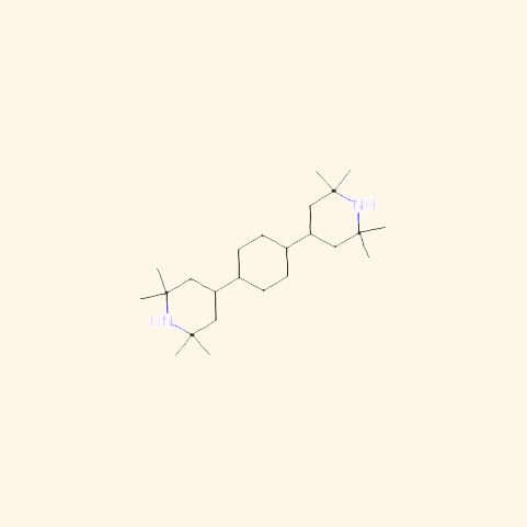 CC1(C)CC(C2CCC(C3CC(C)(C)NC(C)(C)C3)CC2)CC(C)(C)N1